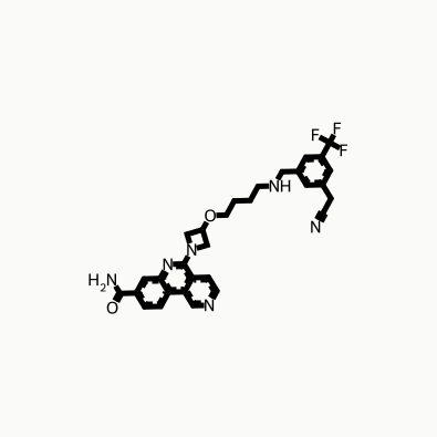 N#CCc1cc(CNCCCCOC2CN(c3nc4cc(C(N)=O)ccc4c4cnccc34)C2)cc(C(F)(F)F)c1